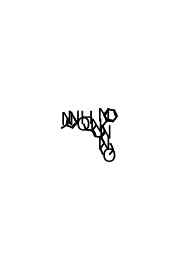 Cc1cc(OCc2cc(N3CCOCC3)nc(-c3ccccn3)n2)[nH]n1